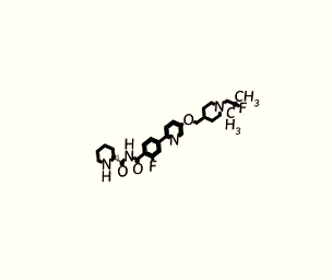 CC(C)(F)CN1CCC(COc2ccc(-c3ccc(C(=O)NC(=O)[C@H]4CCCCN4)c(F)c3)nc2)CC1